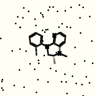 Cc1ccccc1N1C[C@@H](C)N(C)c2cccnc21